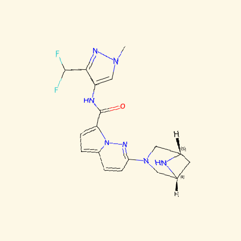 Cn1cc(NC(=O)c2ccc3ccc(N4C[C@H]5C[C@@H](C4)N5)nn23)c(C(F)F)n1